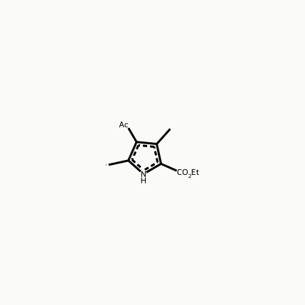 [CH2]c1[nH]c(C(=O)OCC)c(C)c1C(C)=O